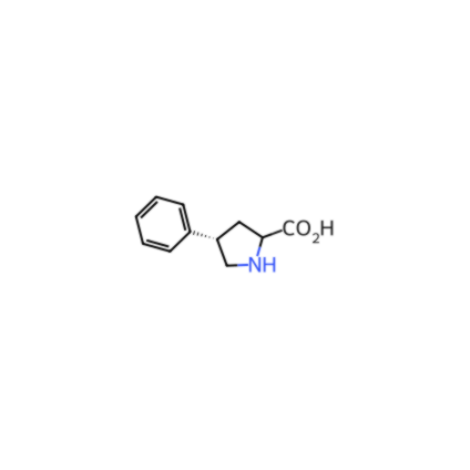 O=C(O)C1C[C@@H](c2ccccc2)CN1